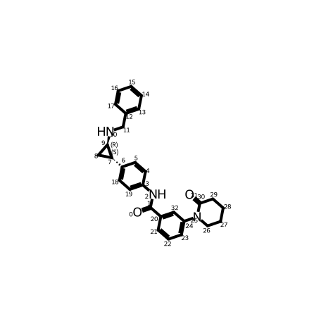 O=C(Nc1ccc([C@@H]2C[C@H]2NCc2ccccc2)cc1)c1cccc(N2CCCCC2=O)c1